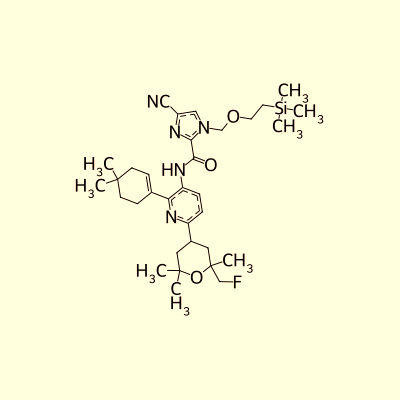 CC1(C)CC=C(c2nc(C3CC(C)(C)OC(C)(CF)C3)ccc2NC(=O)c2nc(C#N)cn2COCC[Si](C)(C)C)CC1